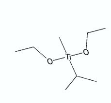 CC[O][Ti]([CH3])([O]CC)[CH](C)C